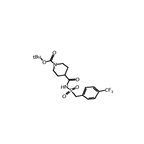 CC(C)(C)OC(=O)N1CCC(C(=O)NS(=O)(=O)Cc2ccc(C(F)(F)F)cc2)CC1